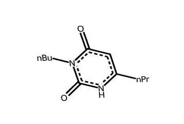 CCCCn1c(=O)cc(CCC)[nH]c1=O